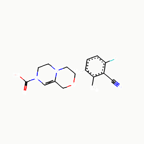 Cc1c([C@H]2CN3CCN(C(=O)O)C=C3CO2)ccc(F)c1C#N